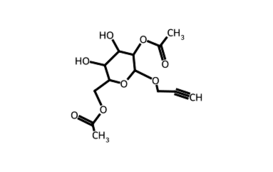 C#CCOC1OC(COC(C)=O)C(O)C(O)C1OC(C)=O